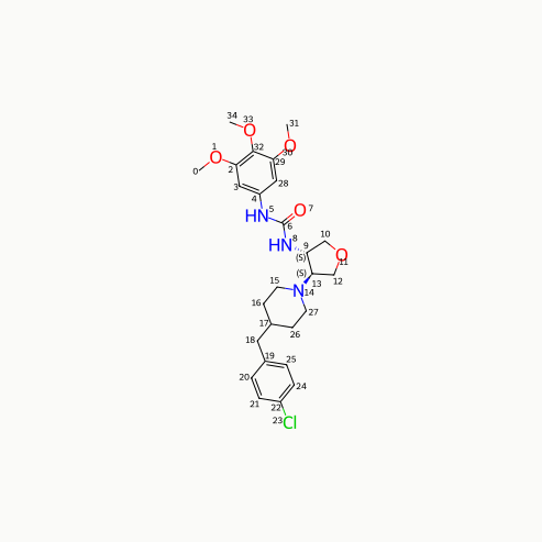 COc1cc(NC(=O)N[C@@H]2COC[C@H]2N2CCC(Cc3ccc(Cl)cc3)CC2)cc(OC)c1OC